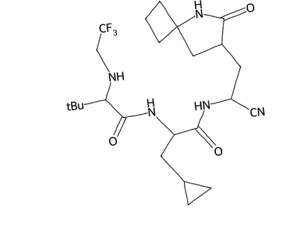 CC(C)(C)C(NCC(F)(F)F)C(=O)NC(CC1CC1)C(=O)NC(C#N)CC1CC2(CCC2)NC1=O